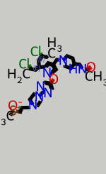 C=C(Cl)/C=C(\C=C(\Cl)CC)c1cc(CN2CCC(CNC(C)=O)CC2)cc(Oc2cnc(N3CCN(CCC[S+](C)[O-])CC3)nc2)n1